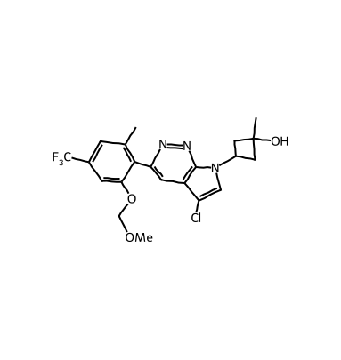 COCOc1cc(C(F)(F)F)cc(C)c1-c1cc2c(Cl)cn(C3CC(C)(O)C3)c2nn1